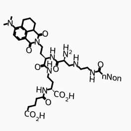 CCCCCCCCCC(=O)NCCNC[C@H](N)C(=O)N[C@H](CCN1C(=O)c2ccc(N(C)C)c3c2C(CCC3)C1=O)C(=O)NCC[C@@H](NC(=O)CCCC(=O)O)C(=O)O